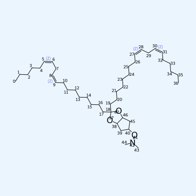 CCCCC/C=C\C/C=C\CCCCCCCCC1(CCCCCCCC/C=C\C/C=C\CCCCC)OC2CC(ON(C)C)CC2O1